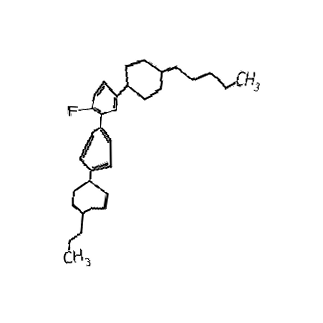 CCCCCC1CCC(c2ccc(F)c(-c3ccc(C4CCC(CCC)CC4)cc3)c2)CC1